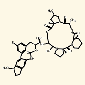 C[C@@H]1C[C@H]2C(=O)O[C@@H](C)[C@H](NC(=O)[C@H](Cc3cc(F)cc(F)c3)NC(=O)Nc3ccc4c(c3)CCN4C)C(O)N3CCC[C@H]3C(=O)N3CCCC[C@H]3C(=O)N[C@@H](C)C(=O)N2C1